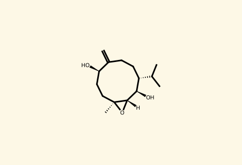 C=C1CC[C@H](C(C)C)[C@@H](O)[C@@H]2O[C@@]2(C)CC[C@H]1O